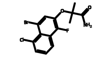 CC(C)(Oc1cc(Br)c2c(Cl)cccc2c1F)C(N)=O